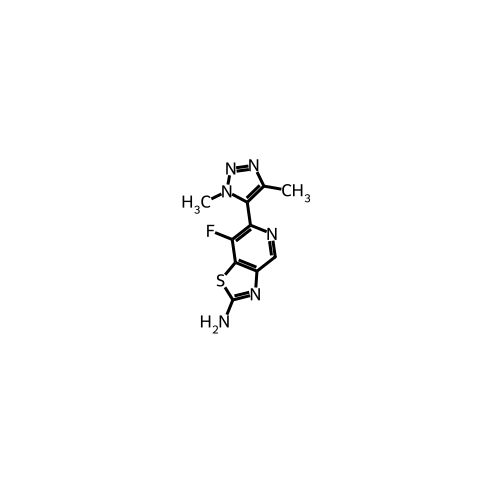 Cc1nnn(C)c1-c1ncc2nc(N)sc2c1F